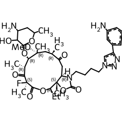 CC[C@H]1OC(=O)[C@@](C)(F)C(=O)[C@H](C)[C@@H](O[C@@H]2OC(C)CC(N)C2O)[C@](C)(OC)C[C@@H](C)C(=O)C[C@H]2N(CCCCn3cc(-c4cccc(N)c4)nn3)C(=O)O[C@]12C